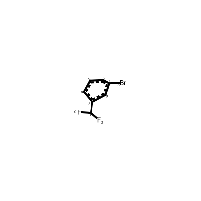 FC(F)c1cccc(Br)c1